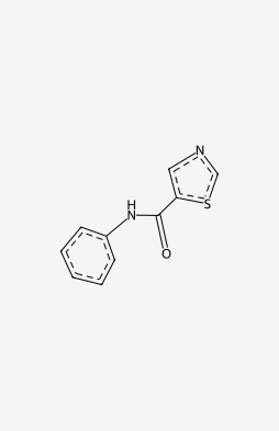 O=C(Nc1ccccc1)c1cncs1